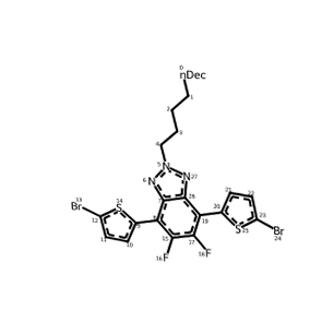 CCCCCCCCCCCCCCn1nc2c(-c3ccc(Br)s3)c(F)c(F)c(-c3ccc(Br)s3)c2n1